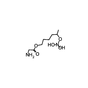 CC(CCCCOC(=O)CN)ON(O)O